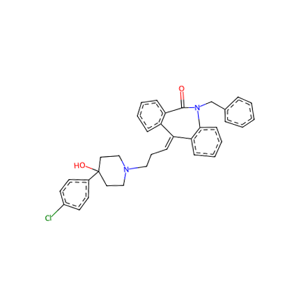 O=C1c2ccccc2C(=CCCN2CCC(O)(c3ccc(Cl)cc3)CC2)c2ccccc2N1Cc1ccccc1